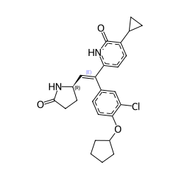 O=C1CC[C@H](/C=C(\c2ccc(OC3CCCC3)c(Cl)c2)c2ccc(C3CC3)c(=O)[nH]2)N1